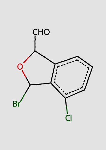 O=CC1OC(Br)c2c(Cl)cccc21